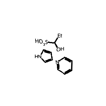 CCC(O)S(=O)(=O)O.c1cc[nH]c1.c1ccncc1